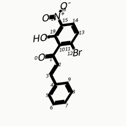 O=C(C=Cc1ccccc1)c1c(Br)ccc([N+](=O)[O-])c1O